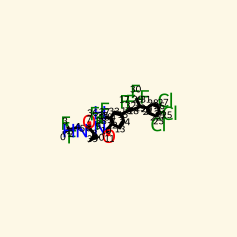 CC(F)(F)CNC(=O)C1(NC(=O)c2ccc(C(F)=CC(c3cc(Cl)c(Cl)c(Cl)c3)C(F)(F)F)cc2C(F)(F)F)CC1